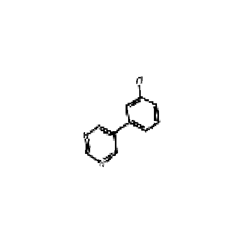 Clc1cccc(-c2cncnc2)c1